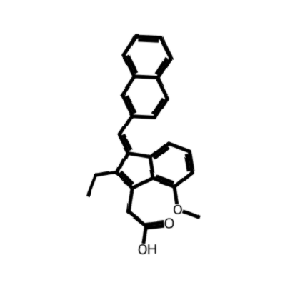 CCC1=C(CC(=O)O)c2c(OC)cccc2/C1=C\c1ccc2ccccc2c1